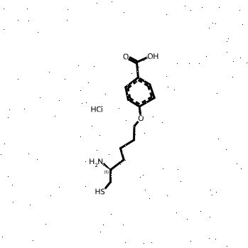 Cl.N[C@H](CS)CCCCOc1ccc(C(=O)O)cc1